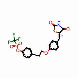 O=C1NC(=O)/C(=C/c2ccc(OCCc3ccc(OS(=O)(=O)C(F)(F)F)cc3)cc2)S1